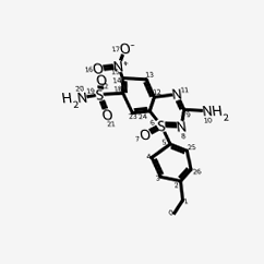 CCc1ccc(S2(=O)=NC(N)=Nc3cc([N+](=O)[O-])c(S(N)(=O)=O)cc32)cc1